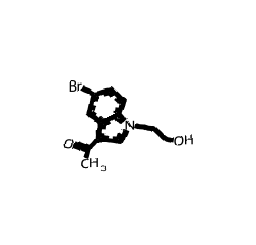 CC(=O)c1cn(CCO)c2ccc(Br)cc12